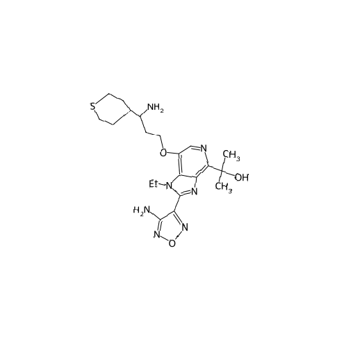 CCn1c(-c2nonc2N)nc2c(C(C)(C)O)ncc(OCCC(N)C3CCSCC3)c21